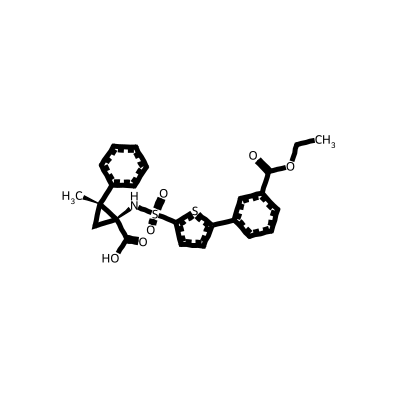 CCOC(=O)c1cccc(-c2ccc(S(=O)(=O)N[C@@]3(C(=O)O)C[C@]3(C)c3ccccc3)s2)c1